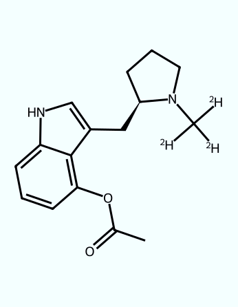 [2H]C([2H])([2H])N1CCC[C@@H]1Cc1c[nH]c2cccc(OC(C)=O)c12